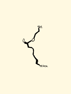 CCCCCCCCCCCC(=O)OCCS